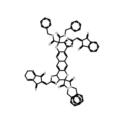 O=C(OCc1ccccc1)C1(C(=O)OCc2ccccc2)OC2=CC3C=C4C(=CC3C=C2c2sc(C=C3C(=S)c5ccccc5C3=S)nc21)OC(C(=O)OCc1ccccc1)(C(=O)OCc1ccccc1)C1N=C(C=C2C(=S)C3=CCCC=C3C2=S)SC41